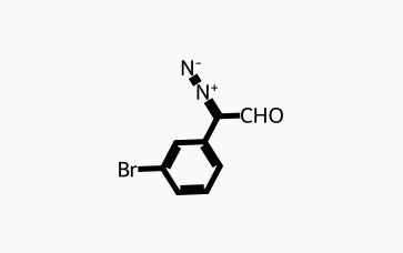 [N-]=[N+]=C(C=O)c1cccc(Br)c1